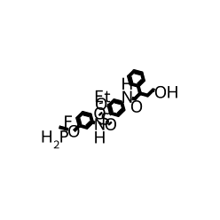 CCOc1cc(NC(=O)C(CCO)c2ccccc2)ccc1S(=O)(=O)Nc1cccc(OC(C)(F)P)c1